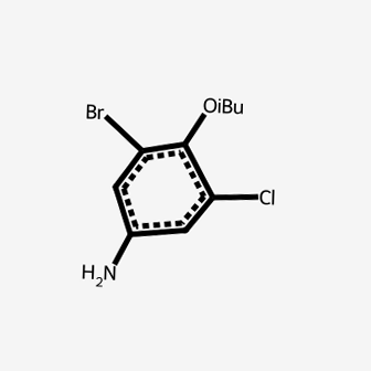 CC(C)COc1c(Cl)cc(N)cc1Br